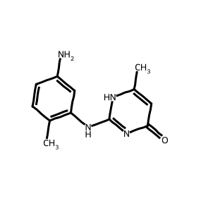 Cc1cc(=O)nc(Nc2cc(N)ccc2C)[nH]1